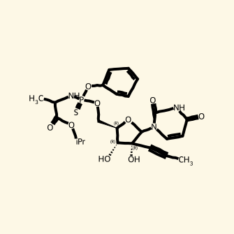 CC#C[C@]1(O)C(n2ccc(=O)[nH]c2=O)O[C@H](COP(=S)(NC(C)C(=O)OC(C)C)Oc2ccccc2)[C@H]1O